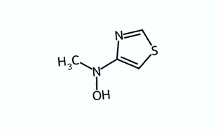 CN(O)c1cscn1